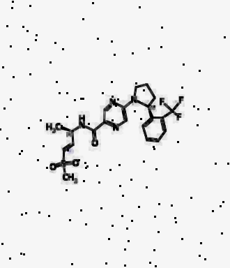 C[C@H](/C=C/S(C)(=O)=O)NC(=O)c1cnc(N2CCC[C@H]2c2ccccc2C(F)(F)F)cn1